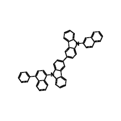 c1ccc(-c2ccc(-n3c4ccccc4c4cc(-c5ccc6c(c5)c5ccccc5n6-c5ccc6ccccc6c5)ccc43)c3ccccc23)cc1